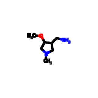 COC1CN(C)CC1CN